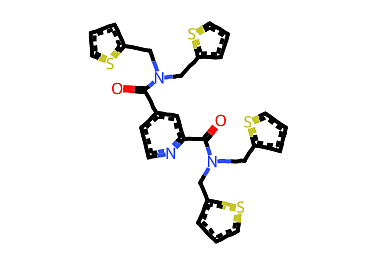 O=C(c1ccnc(C(=O)N(Cc2cccs2)Cc2cccs2)c1)N(Cc1cccs1)Cc1cccs1